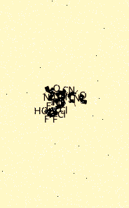 C=CC(=O)N1[C@H](C)CN(c2c(C#N)c(=O)n(C(/C(=N\C)C(C)C)=C(\C)C=C)c3nc(-c4c(F)c(O)c(F)c(F)c4Cl)c(Cl)cc23)C[C@@H]1C